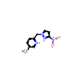 Cc1ccc(Cn2ccc([N+](=O)[O-])n2)nc1